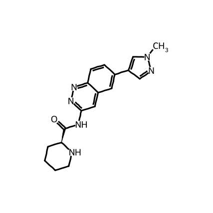 Cn1cc(-c2ccc3nnc(NC(=O)[C@@H]4CCCCN4)cc3c2)cn1